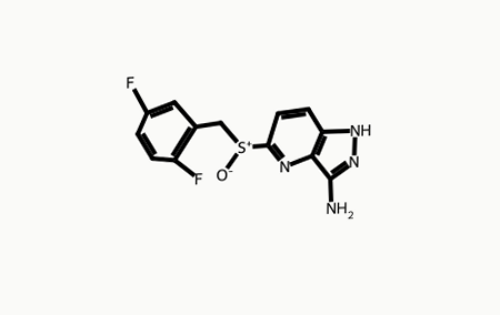 Nc1n[nH]c2ccc([S+]([O-])Cc3cc(F)ccc3F)nc12